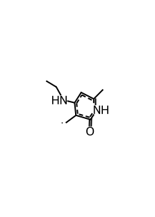 [CH2]c1c(NCC)cc(C)[nH]c1=O